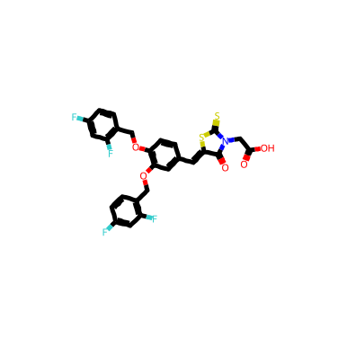 O=C(O)CN1C(=O)/C(=C/c2ccc(OCc3ccc(F)cc3F)c(OCc3ccc(F)cc3F)c2)SC1=S